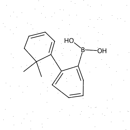 CC1(C)CC=CC=C1c1ccccc1B(O)O